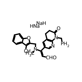 Cc1c(CN(C)/C(=C/C=O)c2cnc3c(c2)CCC(=O)N3CP)oc2ccccc12.[NaH].[NaH]